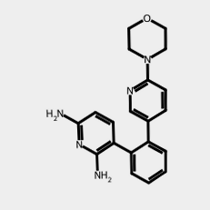 Nc1ccc(-c2ccccc2-c2ccc(N3CCOCC3)nc2)c(N)n1